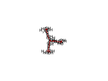 CC1C(CCCOCCOCCNC(=O)CCOCC(C)(COCCC(=O)NCCOCCOCCOC2OC(CO)C(O)C(O)C2C)COCCC(=O)NCCOCCOCCOC2OC(CO)C(O)C(O)C2C)OC(CO)C(O)C1O